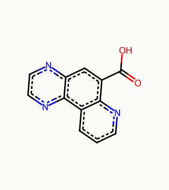 O=C(O)c1cc2nccnc2c2cccnc12